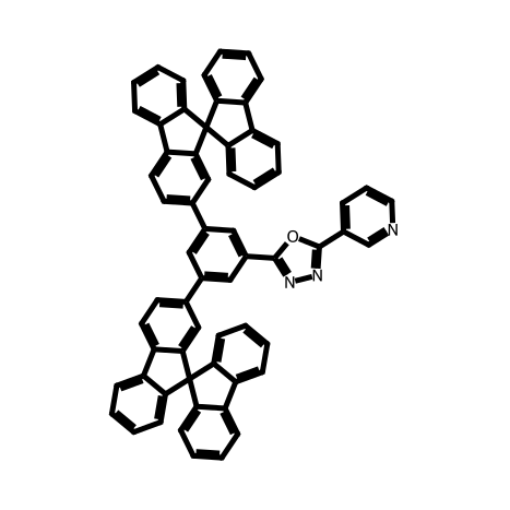 c1cncc(-c2nnc(-c3cc(-c4ccc5c(c4)C4(c6ccccc6-c6ccccc64)c4ccccc4-5)cc(-c4ccc5c(c4)C4(c6ccccc6-c6ccccc64)c4ccccc4-5)c3)o2)c1